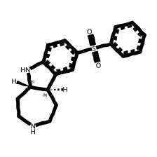 O=S(=O)(c1ccccc1)c1ccc2c(c1)[C@H]1CCNCC[C@@H]1N2